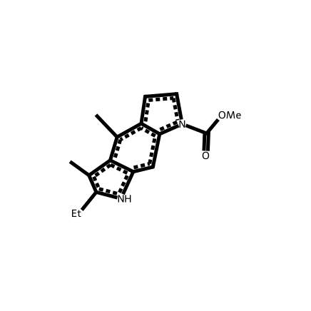 CCc1[nH]c2cc3c(ccn3C(=O)OC)c(C)c2c1C